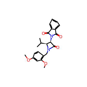 COc1ccc(CN2C(=O)[C@H](N3C(=O)c4ccccc4C3=O)[C@@H]2C(C)C)c(OC)c1